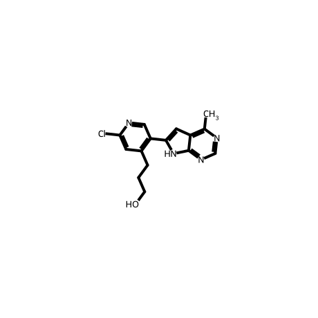 Cc1ncnc2[nH]c(-c3cnc(Cl)cc3CCCO)cc12